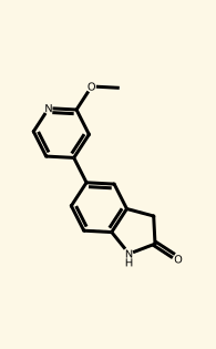 COc1cc(-c2ccc3c(c2)CC(=O)N3)ccn1